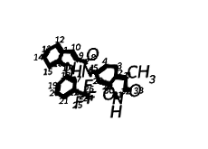 CC1=C2CC=C(NC(=O)c3cc4ccccc4n3-c3cccc(C(F)(F)F)c3)C=C2ONC1=O